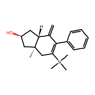 C=C1C(c2ccccc2)=C([Si](C)(C)C)C[C@@]2(C)C[C@@H](O)C[C@H]12